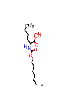 C=CCCCCCOC(=O)NC(CCCC)C(=O)O